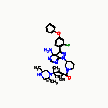 CC1CN(C(C)(C)C=C(C#N)C(=O)N2CCCC(n3nc(-c4ccc(Oc5ccccc5)cc4F)c4c(N)ncnc43)C2)[C@@H](C)CN1